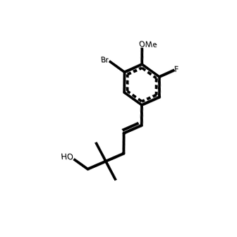 COc1c(F)cc(C=CCC(C)(C)CO)cc1Br